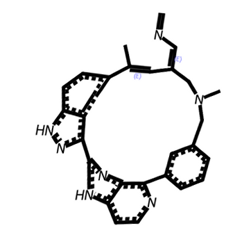 C=N/C=C1\C=C(/C)c2ccc3[nH]nc(c3c2)-c2nc3c(nccc3[nH]2)-c2cccc(c2)CN(C)C1